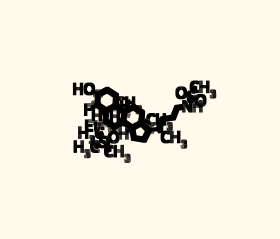 CC[C@H]1[C@@H](O[Si](C)(C)C)[C@@H]2[C@H](CC[C@]3(C)[C@@H](C(C)CCCNS(C)(=O)=O)CC[C@@H]23)[C@@]2(C)CC[C@@H](O)[C@H](F)[C@@H]12